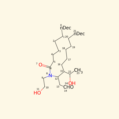 CCCCCCCCCCCCCCCC(=O)N(CCO)C(CC=O)C(CCCCCCCCCCCCCCC)C(C)O